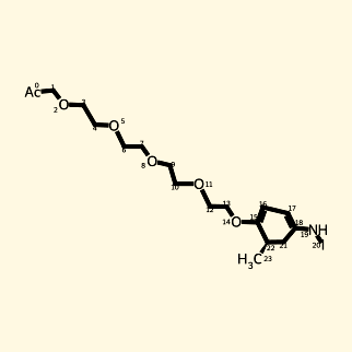 CC(=O)COCCOCCOCCOCCOC1=CC=C(NI)C[C@H]1C